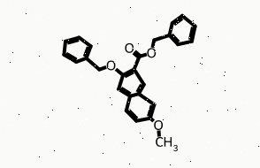 COc1ccc2cc(OCc3ccccc3)c(C(=O)OCc3ccccc3)cc2c1